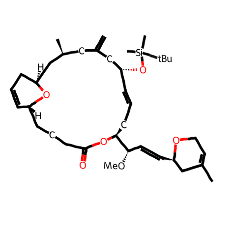 C=C1C[C@H](C)C[C@@H]2CC=C[C@@H](CCCC(=O)O[C@H]([C@H](/C=C/[C@@H]3CC(C)=CCO3)OC)C/C=C/[C@@H](O[Si](C)(C)C(C)(C)C)C1)O2